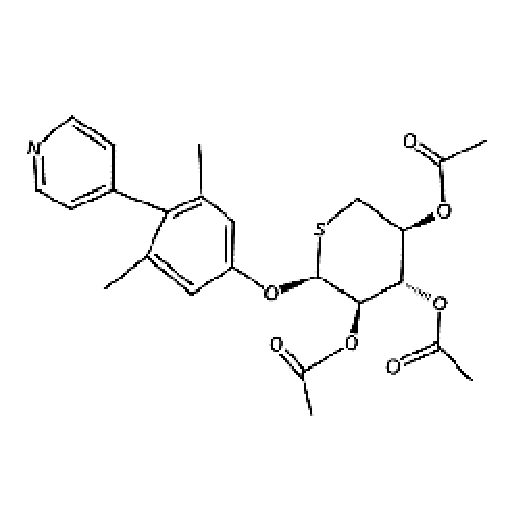 CC(=O)O[C@@H]1[C@@H](OC(C)=O)[C@@H](Oc2cc(C)c(-c3ccncc3)c(C)c2)SC[C@H]1OC(C)=O